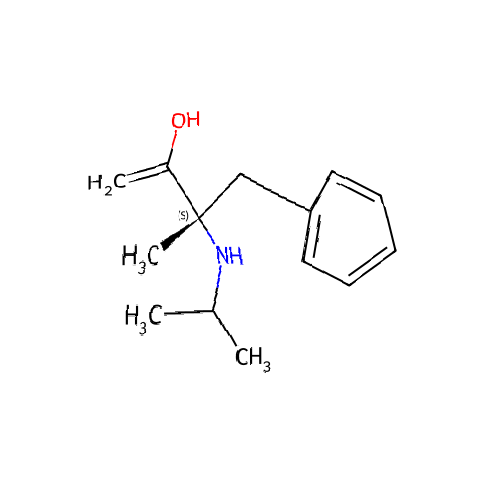 C=C(O)[C@](C)(Cc1ccccc1)NC(C)C